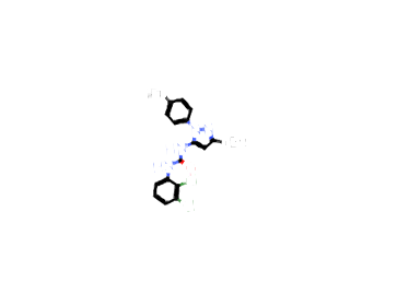 CC(C)c1ccc(-n2nc(C(C)(C)C)cc2NC(=O)Nc2cccc(Cl)c2Cl)cc1